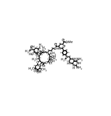 CC[C@H]1OC(=O)[C@H](C)[C@@H](OC2C[C@@](C)(OC)[C@@H](O)[C@H](C)O2)[C@H](C)C(O[C@@H]2O[C@H](C)C[C@H](N(C)C)[C@H]2O)[C@]2(O)C[C@@]2(C)CN(CCCOC(=O)C(CCC(=O)OC)NC(=O)c2ccc(N(C)CC3CNC4NC(N)NC(N)=C4N3)cc2)[C@H](C)[C@@H](O)[C@]1(C)O